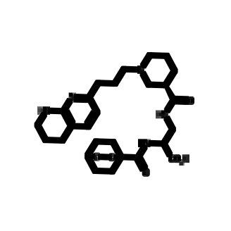 O=C(O)C(CNC(=O)[C@@H]1CCCN(CCCc2ccc3c(n2)NCCC3)C1)NC(=O)C12CCC(CC1)CC2